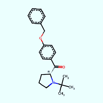 CC(C)(C)N1CCC[C@@H]1C(=O)c1ccc(OCc2ccccc2)cc1